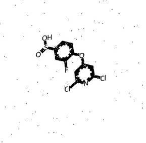 O=S(O)c1ccc(Oc2cc(Cl)nc(Cl)c2)c(F)c1